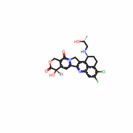 CC[C@@]1(O)C(=O)OCc2c1cc1n(c2=O)Cc2c-1nc1cc(F)c(Cl)c3c1c2[C@@H](NC[C@@H](C)O)CC3